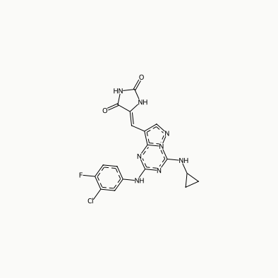 O=C1NC(=O)/C(=C/c2cnn3c(NC4CC4)nc(Nc4ccc(F)c(Cl)c4)nc23)N1